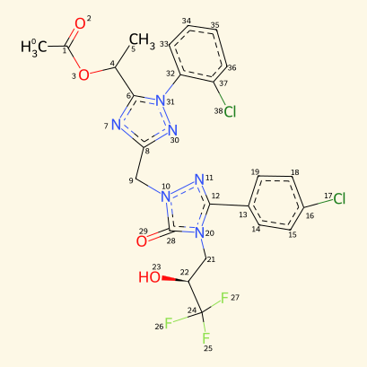 CC(=O)OC(C)c1nc(Cn2nc(-c3ccc(Cl)cc3)n(C[C@H](O)C(F)(F)F)c2=O)nn1-c1ccccc1Cl